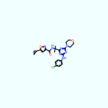 CC(C)(NC(=O)c1cc(C2CC2)on1)c1nc(Nc2ccc(Cl)cc2)nc(N2CCOCC2)n1